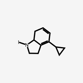 IN1CCC2=C(C3CC3)C=CCC21